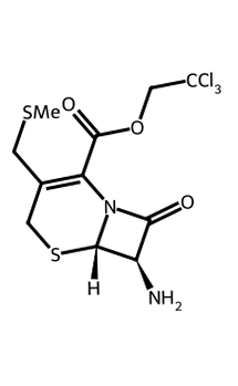 CSCC1=C(C(=O)OCC(Cl)(Cl)Cl)N2C(=O)[C@@H](N)[C@@H]2SC1